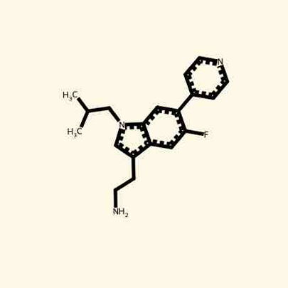 CC(C)Cn1cc(CCN)c2cc(F)c(-c3ccncc3)cc21